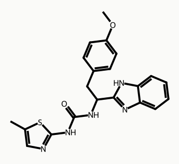 COc1ccc(CC(NC(=O)Nc2ncc(C)s2)c2nc3ccccc3[nH]2)cc1